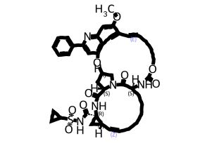 COc1cc2nc(-c3ccccc3)cc3c2cc1/C=C/CCCOC(=O)N[C@H]1CCCCC/C=C\[C@@H]2C[C@@]2(C(=O)NS(=O)(=O)C2CC2)NC(=O)[C@@H]2C[C@H](CN2C1=O)O3